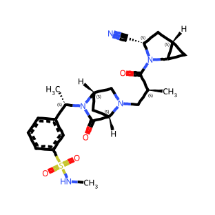 CNS(=O)(=O)c1cccc([C@H](C)N2C(=O)[C@@H]3C[C@H]2CN3C[C@H](C)C(=O)N2C3C[C@H]3C[C@H]2C#N)c1